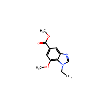 CCn1cnc2cc(C(=O)OC)cc(OC)c21